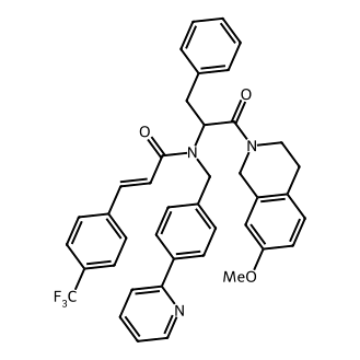 COc1ccc2c(c1)CN(C(=O)C(Cc1ccccc1)N(Cc1ccc(-c3ccccn3)cc1)C(=O)C=Cc1ccc(C(F)(F)F)cc1)CC2